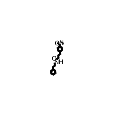 CN(C)[S+]([O-])c1ccc(CCCC(=O)NCCCc2ccccc2)cc1